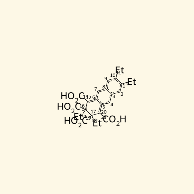 CCc1cc2cc3c(cc2cc1CC)=C(C(=O)O)C(CC)(C(=O)O)C(CC)(C(=O)O)C=3C(=O)O